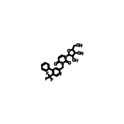 O=c1ccn(C2OC(CO)C(O)C2O)c(=O)n1Cc1cc(-c2ccccc2)c(C(F)(F)F)cn1